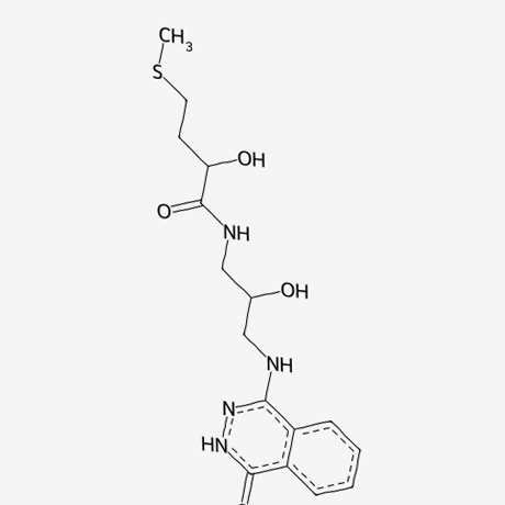 CSCCC(O)C(=O)NCC(O)CNc1n[nH]c(=O)c2ccccc12